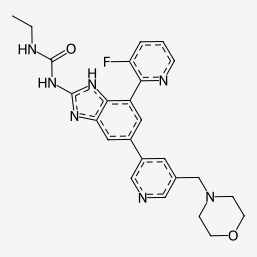 CCNC(=O)Nc1nc2cc(-c3cncc(CN4CCOCC4)c3)cc(-c3ncccc3F)c2[nH]1